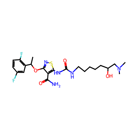 CC(Oc1nsc(NC(=O)NCCCCCC(O)CN(C)C)c1C(N)=O)c1cc(F)ccc1F